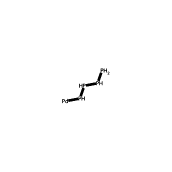 PPP[PH][Pd]